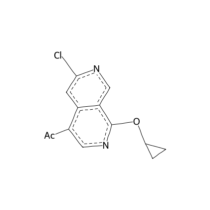 CC(=O)c1cnc(OC2CC2)c2cnc(Cl)cc12